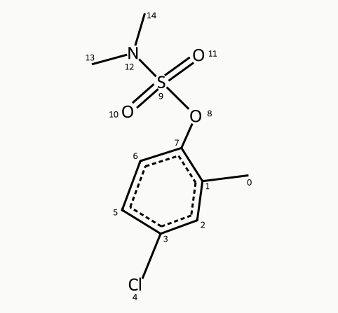 Cc1cc(Cl)ccc1OS(=O)(=O)N(C)C